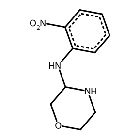 O=[N+]([O-])c1ccccc1NC1COCCN1